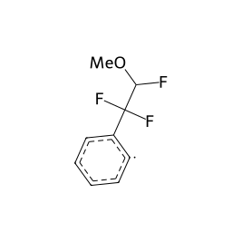 COC(F)C(F)(F)c1[c]cccc1